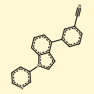 N#Cc1cccc(-c2cccc3c2ccn3-c2cccnc2)c1